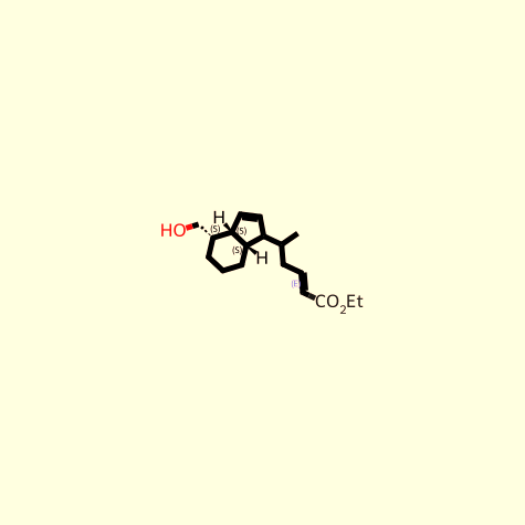 CCOC(=O)/C=C/CC(C)C1C=C[C@H]2[C@@H](CO)CCC[C@@H]12